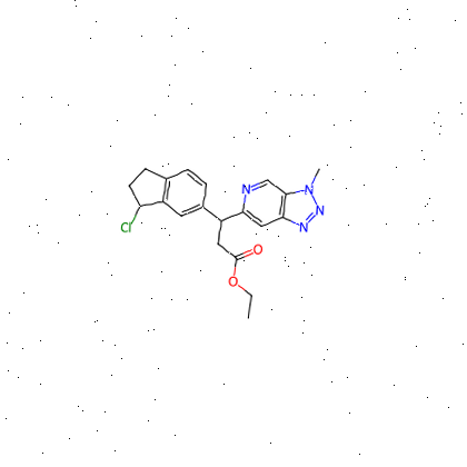 CCOC(=O)CC(c1ccc2c(c1)C(Cl)CC2)c1cc2nnn(C)c2cn1